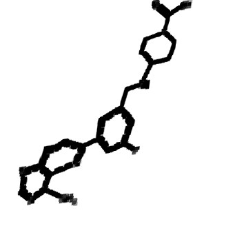 Nc1ncnc2ccc(-c3cc(F)cc(CNC4CCN(C(=O)O)CC4)c3)nc12